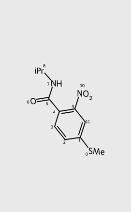 CSc1ccc(C(=O)NC(C)C)c([N+](=O)[O-])c1